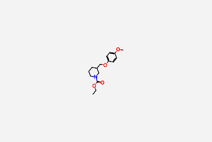 CCOC(=O)N1CCCC(COc2ccc(OC)cc2)C1